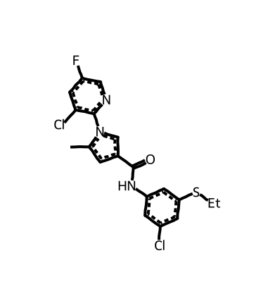 CCSc1cc(Cl)cc(NC(=O)c2cc(C)n(-c3ncc(F)cc3Cl)c2)c1